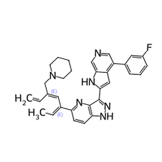 C=C/C(=C\C(=C/C)c1ccc2[nH]nc(-c3cc4c(-c5cccc(F)c5)cncc4[nH]3)c2n1)CN1CCCCC1